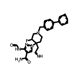 N=CCC1(n2cc(C(N)=O)c(NC=O)n2)CCN(Cc2ccc(-c3ccccc3)cc2)CC1F